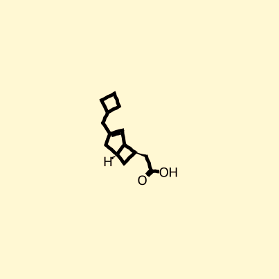 O=C(O)C[C@H]1C[C@H]2CC(CC3CCC3)=CC21